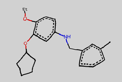 CCOc1ccc(NCc2cccc(C)c2)cc1OC1CCCC1